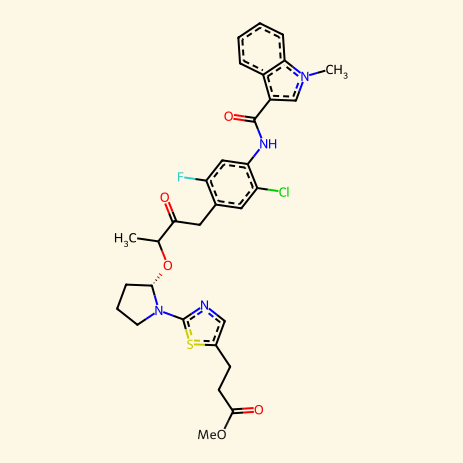 COC(=O)CCc1cnc(N2CCC[C@@H]2OC(C)C(=O)Cc2cc(Cl)c(NC(=O)c3cn(C)c4ccccc34)cc2F)s1